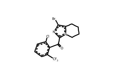 O=C(c1c(Cl)cccc1C(F)(F)F)c1nc(Br)c2n1CCCC2